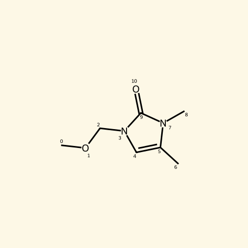 COCn1cc(C)n(C)c1=O